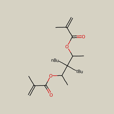 C=C(C)C(=O)OC(C)C(CCCC)(C(C)OC(=O)C(=C)C)C(C)(C)C